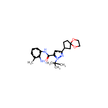 Cc1cccc(NC(=O)c2cc(C3CCC4(C3)OCCO4)nn2C(C)(C)C)c1N